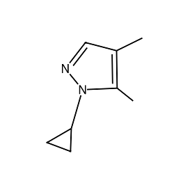 Cc1cnn(C2CC2)c1C